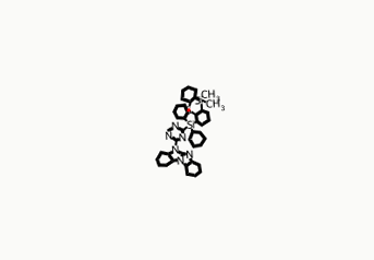 C[Si]1(C)c2ccccc2Sc2c1cccc2[Si](c1ccccc1)(c1ccccc1)c1ncnc(-n2c3ccccc3n3c4ccccc4nc23)n1